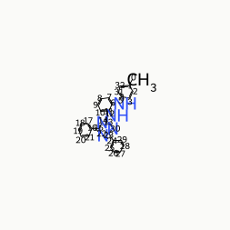 Cc1ccc(Nc2ccccc2Nc2nc(-c3ccccc3)nc(-c3ccccc3)n2)cc1